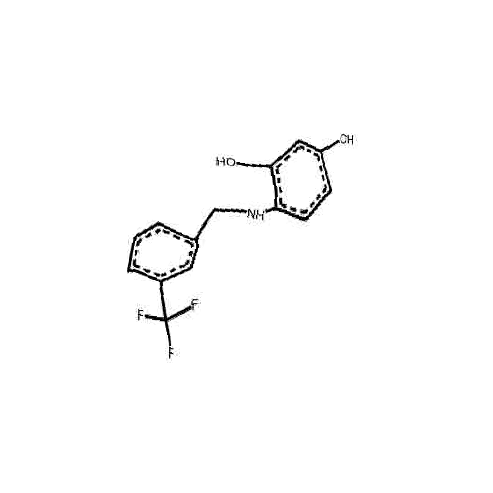 Oc1ccc(NCc2cccc(C(F)(F)F)c2)c(O)c1